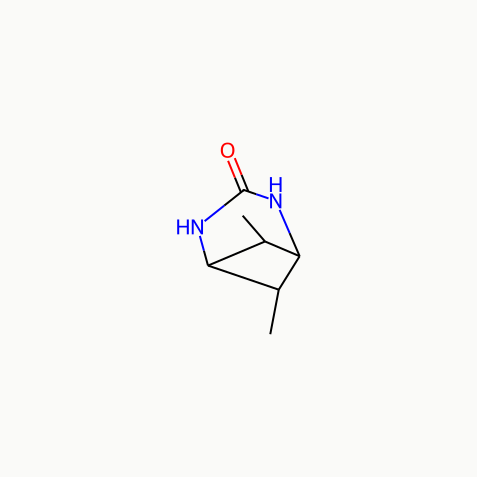 CC1C2NC(=O)NC1C2C